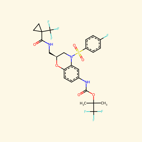 CC(C)(OC(=O)Nc1ccc2c(c1)N(S(=O)(=O)c1ccc(F)cc1)C[C@H](CNC(=O)C1(C(F)(F)F)CC1)O2)C(F)(F)F